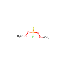 COOP(=S)(Cl)OOC